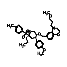 C[CH]C[C@@]1(S(=O)(=O)c2ccc(C)cc2)C[C@H](c2ccc(OC)cc2)[C@@H](OCc2ccc3c(c2)N(CCCOC)CCO3)CN1